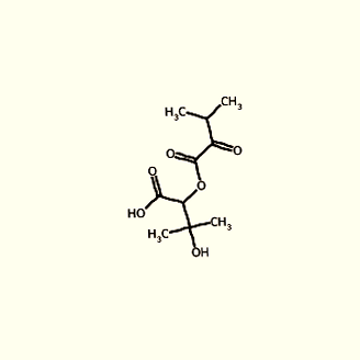 CC(C)C(=O)C(=O)OC(C(=O)O)C(C)(C)O